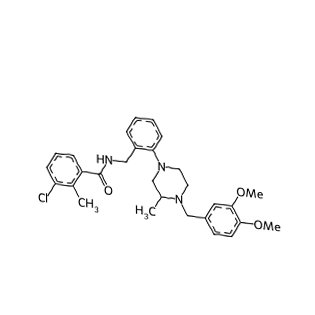 COc1ccc(CN2CCN(c3ccccc3CNC(=O)c3cccc(Cl)c3C)CC2C)cc1OC